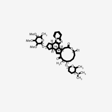 CC[C@H]1CCC[C@H](O[C@H]2CC[C@H](N(C)C)C(C)O2)[C@@H](C)C(=O)C2=C[C@H]3[C@@H]4C[C@H](O[C@@H]5OC(C)[C@H](OC)C(OC)C5OC)C[C@H]4c4c(nc5ccccn45)[C@H]3[C@@H]2CC(=O)O1